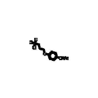 COc1ccc(OCCCS(=O)(=O)Cl)cc1